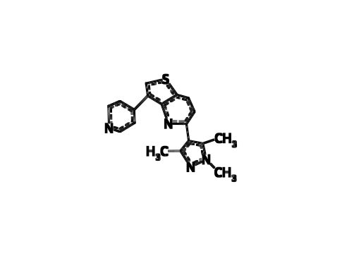 Cc1nn(C)c(C)c1-c1ccc2scc(-c3ccncc3)c2n1